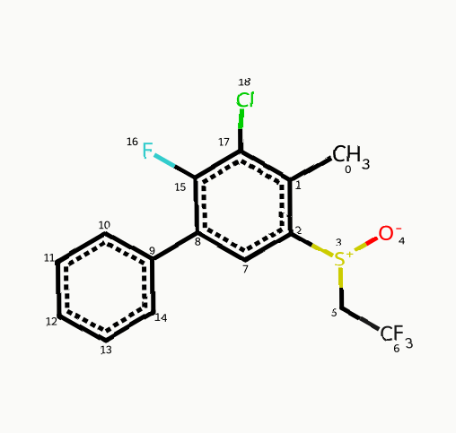 Cc1c([S+]([O-])CC(F)(F)F)cc(-c2ccccc2)c(F)c1Cl